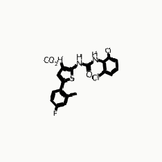 Cc1cc(F)ccc1-c1cc(C(=O)O)c(NC(=O)Nc2c(Cl)cccc2Cl)s1